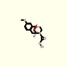 CCOC1OC1N1CC[C@@]23CCCCC2[C@@H]1Cc1ccc(OI)cc13